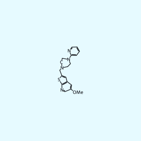 COc1cnc2sc(CN3CCN(c4ccccn4)CC3)cc2c1